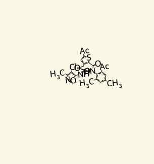 CC(=O)c1cc(S(=O)(=O)Nc2onc(C)c2Cl)c(C(=O)Nc2c(C)cc(C)cc2C(C)=O)s1